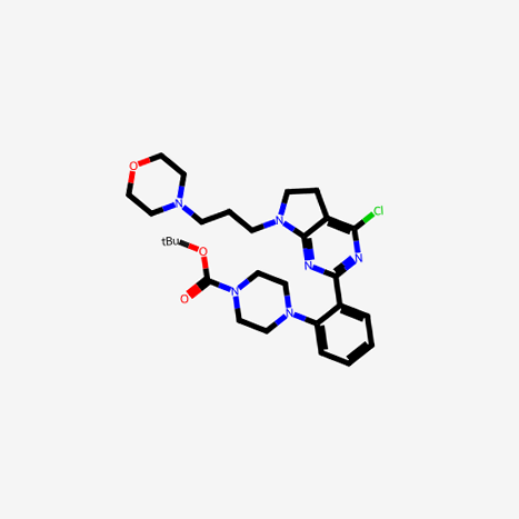 CC(C)(C)OC(=O)N1CCN(c2ccccc2-c2nc(Cl)c3c(n2)N(CCCN2CCOCC2)CC3)CC1